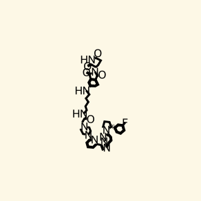 O=C(CN1CCN(c2cccc(-c3cnc4ccc(N5CCC[C@@H]5c5cccc(F)c5)nn34)n2)CC1)NCCCCCNc1ccc2c(c1)C(=O)N(C1CCC(=O)NC1=O)C2=O